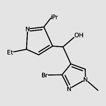 CCC1C=C(C(O)c2cn(C)nc2Br)C(C(C)C)=N1